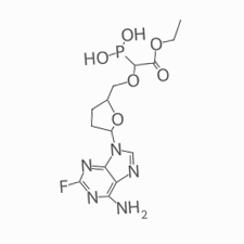 CCOC(=O)C(OCC1CCC(n2cnc3c(N)nc(F)nc32)O1)P(O)O